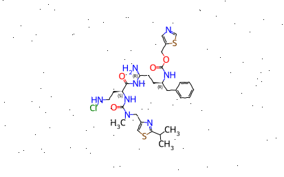 CC(C)c1nc(CN(C)C(=O)N[C@@H](CCNCl)C(=O)N[C@@H](N)CC[C@H](Cc2ccccc2)NC(=O)OCc2cncs2)cs1